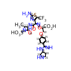 C[C@H]1[C@H](NC(=O)/C(=N\OC(COc2ccc(C(=N)N[C@H]3CCNC3)cc2)C(=O)O)c2nc(N)sc2C(F)(F)F)C(=O)N1S(=O)(=O)O